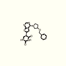 O=c1[nH]cc(-c2cc3c(N4CCC(OCc5ccccc5)C4)ncnc3s2)c(=O)[nH]1